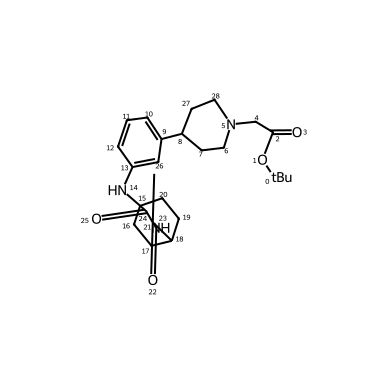 CC(C)(C)OC(=O)CN1CCC(c2cccc(NC34CCC(CC3)C(=O)NC4=O)c2)CC1